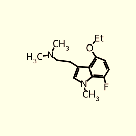 CCOc1ccc(F)c2c1c(CCN(C)C)cn2C